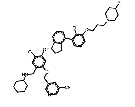 N#Cc1cncc(COc2cc(O[C@H]3CCc4c(-c5cccc(OCCCN6CCC(F)CC6)c5Cl)cccc43)c(Cl)cc2CNC2CCCCC2)c1